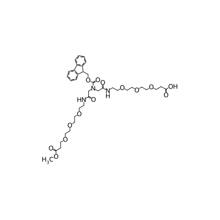 COC(=O)CCOCCOCCOCCNC(=O)CN(CC(=O)NCCOCCOCCOCCC(=O)O)C(=O)OCC1c2ccccc2-c2ccccc21